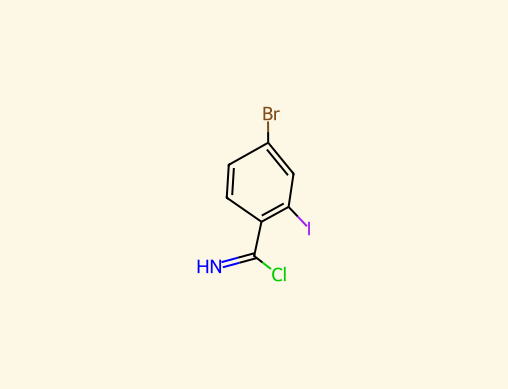 N=C(Cl)c1ccc(Br)cc1I